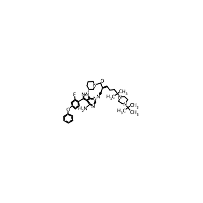 CC(C)(C)N1CCN(C(C)(C)CC/C=C(\C#N)C(=O)N2CCC[C@@H](n3nc(-c4ccc(Oc5ccccc5)cc4F)c4c(N)ncnc43)C2)CC1